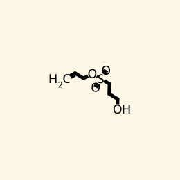 C=CCOS(=O)(=O)CCCO